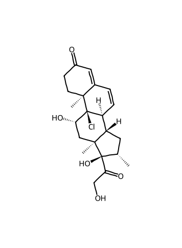 C[C@H]1C[C@H]2[C@@H]3C=CC4=CC(=O)CC[C@]4(C)[C@@]3(Cl)[C@@H](O)C[C@]2(C)[C@@]1(O)C(=O)CO